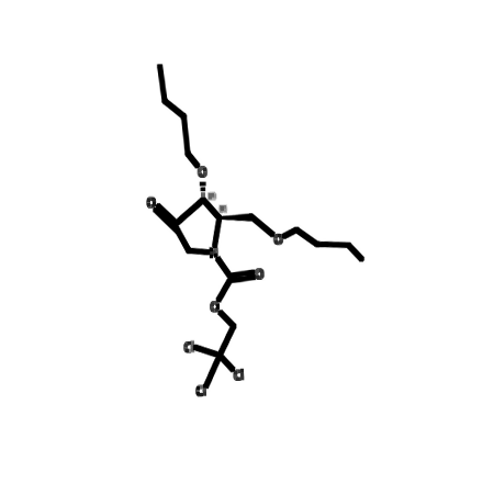 CCCCOC[C@@H]1[C@@H](OCCCC)C(=O)CN1C(=O)OCC(Cl)(Cl)Cl